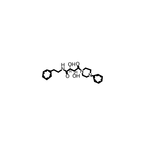 O=C(NCCc1ccccc1)[C@H](O)[C@@H](O)C(=O)N1CCN(c2ccccc2)CC1